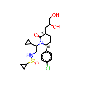 O=C1[C@@H](CC(O)CO)CC[C@@H](c2ccc(Cl)cc2)N1C(CN[S+]([O-])C1CC1)C1CC1